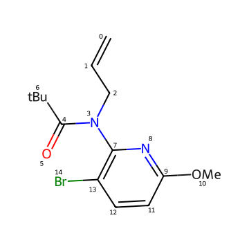 C=CCN(C(=O)C(C)(C)C)c1nc(OC)ccc1Br